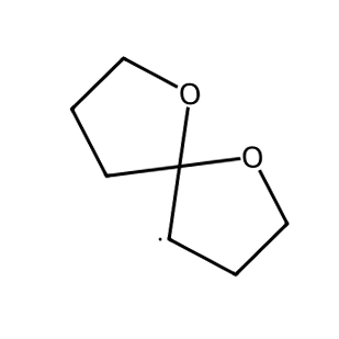 [CH]1CCOC12CCCO2